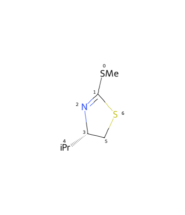 CSC1=N[C@@H](C(C)C)CS1